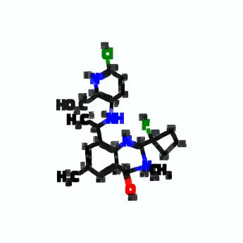 Cc1cc(C(C)Nc2ccc(Cl)nc2C(=O)O)c2nc(C3(F)CCC3)n(C)c(=O)c2c1